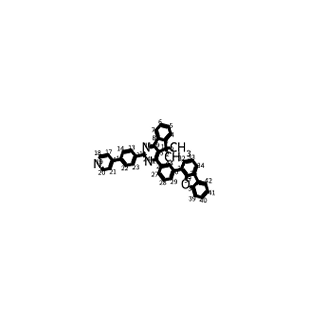 CC1(C)c2ccccc2-c2nc(-c3ccc(-c4ccncc4)cc3)nc(-c3cccc(-c4cccc5c4oc4ccccc45)c3)c21